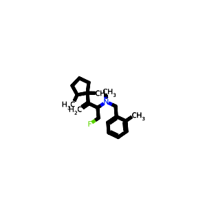 C=C(C(CF)N(C)Cc1ccccc1C)C1(C)CCCC1C